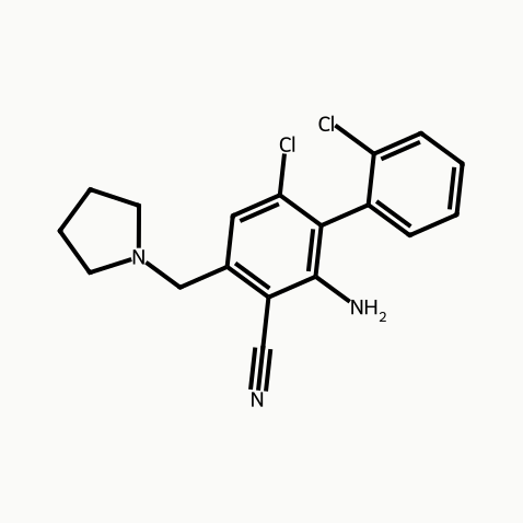 N#Cc1c(CN2CCCC2)cc(Cl)c(-c2ccccc2Cl)c1N